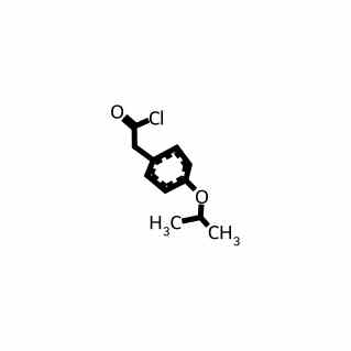 CC(C)Oc1ccc(CC(=O)Cl)cc1